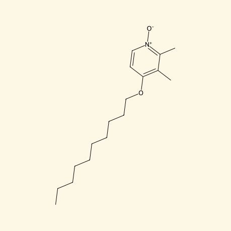 CCCCCCCCCCOc1cc[n+]([O-])c(C)c1C